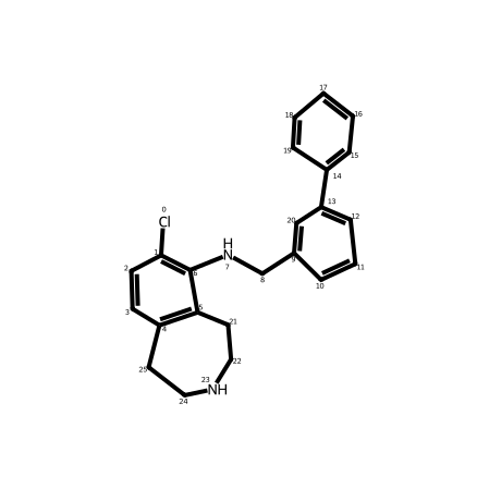 Clc1ccc2c(c1NCc1cccc(-c3ccccc3)c1)CCNCC2